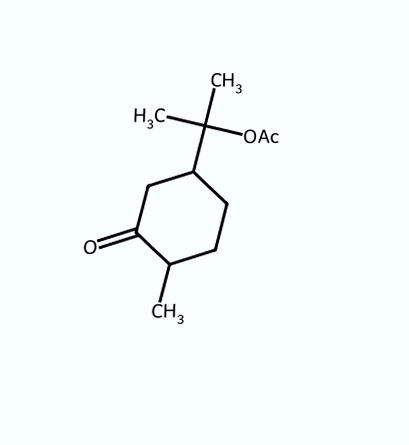 CC(=O)OC(C)(C)C1CCC(C)C(=O)C1